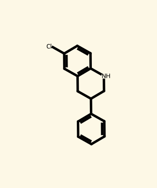 Clc1ccc2c(c1)CC(c1ccccc1)CN2